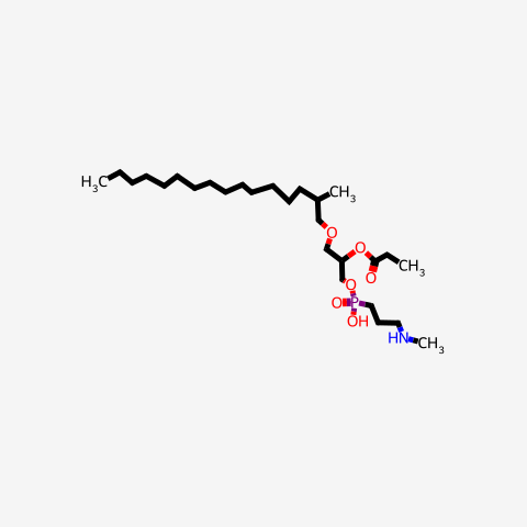 CCCCCCCCCCCCCCC(C)COCC(COP(=O)(O)CCCNC)OC(=O)CC